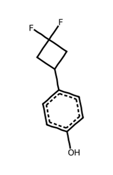 Oc1ccc(C2CC(F)(F)C2)cc1